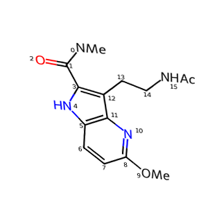 CNC(=O)c1[nH]c2ccc(OC)nc2c1CCNC(C)=O